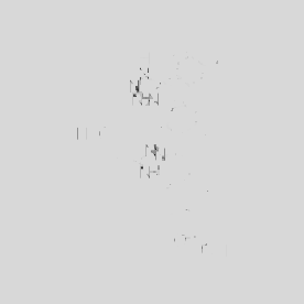 CCCc1nc(C2CCC(CC(=O)O)CC2)n(Cc2ccc(-c3ccccc3-c3nnn[nH]3)cc2)n1